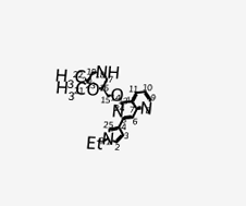 CCn1ccc(-c2cc3ncccc3c(OC[C@@H]3CNCC(C)(C)O3)n2)c1